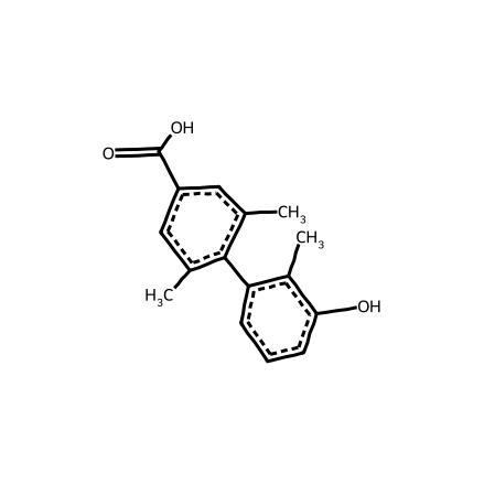 Cc1cc(C(=O)O)cc(C)c1-c1cccc(O)c1C